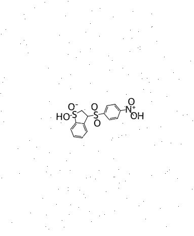 O=[N+](O)c1ccc(S(=O)(=O)C2CS([O-])(O)c3ccccc32)cc1